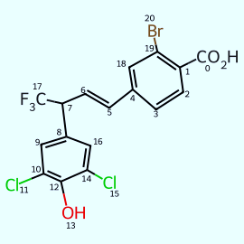 O=C(O)c1ccc(/C=C/C(c2cc(Cl)c(O)c(Cl)c2)C(F)(F)F)cc1Br